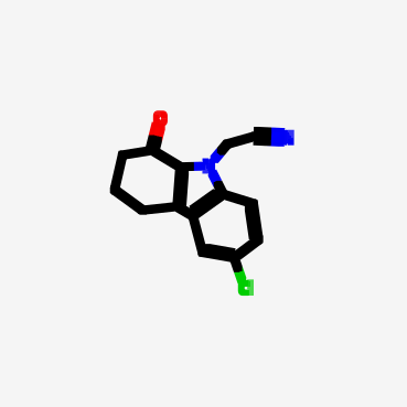 N#CCn1c2c(c3cc(Cl)ccc31)CCCC2=O